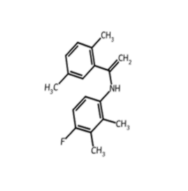 C=C(Nc1ccc(F)c(C)c1C)c1cc(C)ccc1C